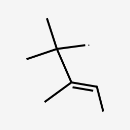 [CH2]C(C)(C)C(C)=CC